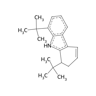 CC(C)(C)c1cccc2c3c([nH]c12)C(C(C)(C)C)CC=C3